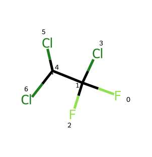 FC(F)(Cl)[C](Cl)Cl